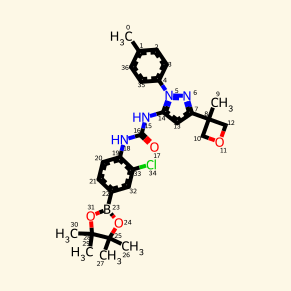 Cc1ccc(-n2nc(C3(C)COC3)cc2NC(=O)Nc2ccc(B3OC(C)(C)C(C)(C)O3)cc2Cl)cc1